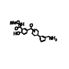 CONC(=O)c1cc(C(=O)N2CCC(c3cccc(CN)c3)CC2)ccc1O